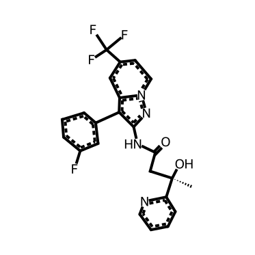 C[C@@](O)(CC(=O)Nc1nn2ccc(C(F)(F)F)cc2c1-c1cccc(F)c1)c1ccccn1